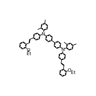 CCOc1ccccc1/C=C/c1ccc(N(c2ccc(-c3ccc(N(c4ccc(/C=C/c5ccccc5OCC)cc4)c4ccc(C)cc4C)cc3)cc2)c2ccc(C)cc2C)cc1